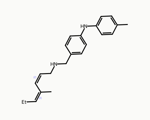 CC/C=C(C)\C=C/CNCc1ccc(Nc2ccc(C)cc2)cc1